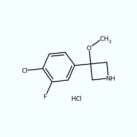 COC1(c2ccc(Cl)c(F)c2)CNC1.Cl